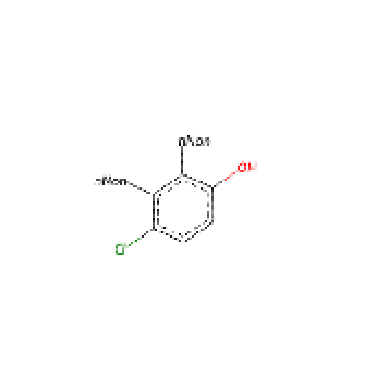 CCCCCCCCCc1c(O)ccc(Cl)c1CCCCCCCCC